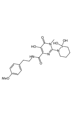 COc1ccc(CCNC(=O)c2nc(N3CCCCS3(O)O)n(C)c(=O)c2O)cc1